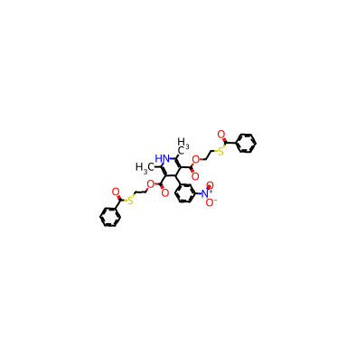 CC1=C(C(=O)OCCSC(=O)c2ccccc2)C(c2cccc([N+](=O)[O-])c2)C(C(=O)OCCSC(=O)c2ccccc2)=C(C)N1